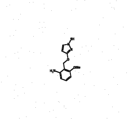 COc1cccc(N)c1COc1ccn(S)n1